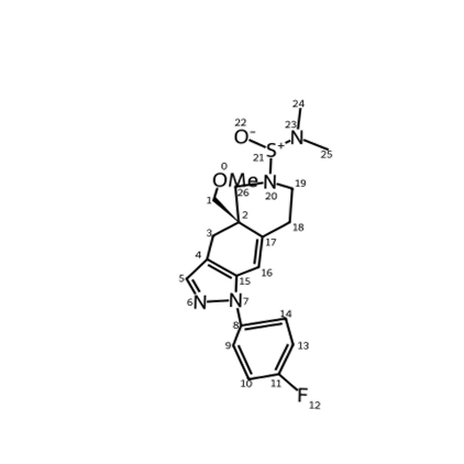 COC[C@]12Cc3cnn(-c4ccc(F)cc4)c3C=C1CCN([S+]([O-])N(C)C)C2